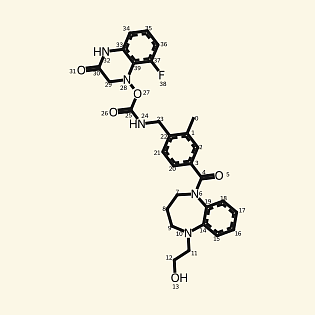 Cc1cc(C(=O)N2CCCN(CCO)c3ccccc32)ccc1CNC(=O)ON1CC(=O)Nc2cccc(F)c21